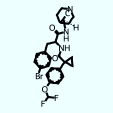 O=C(N[C@@H]1CN2CCC1CC2)C(Cc1ccc(Br)cc1)NC(=O)C1(c2ccc(OC(F)F)cc2)CC1